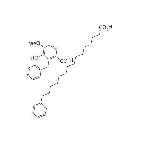 COc1ccc(C(=O)O)c(Cc2ccccc2)c1O.O=C(O)CCCCCCCCCCCCCCc1ccccc1